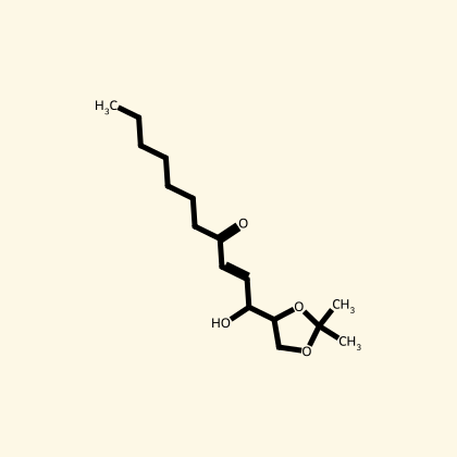 CCCCCCCC(=O)C=CC(O)C1COC(C)(C)O1